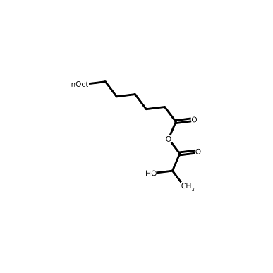 CCCCCCCCCCCCCC(=O)OC(=O)C(C)O